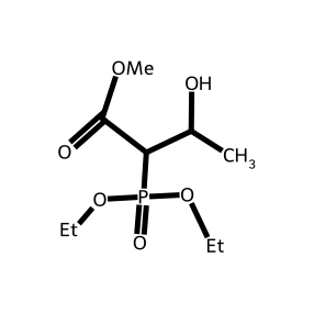 CCOP(=O)(OCC)C(C(=O)OC)C(C)O